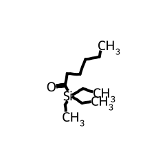 CCCCCC(=O)[Si](CC)(CC)CC